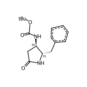 CC(C)(C)OC(=O)N[C@@H]1CC(=O)N[C@H]1Cc1ccccc1